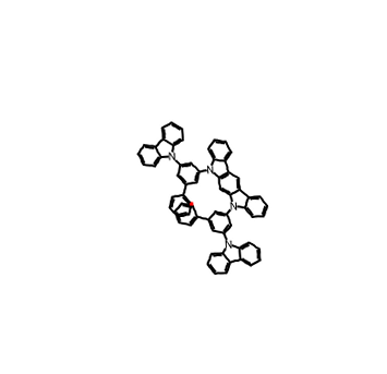 c1ccc(-c2cc(-n3c4ccccc4c4ccccc43)cc(-n3c4ccccc4c4cc5c6ccccc6n(-c6cc(-c7ccccc7)cc(-n7c8ccccc8c8ccccc87)c6)c5cc43)c2)cc1